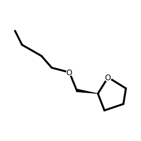 CCCCOC[C@@H]1CCCO1